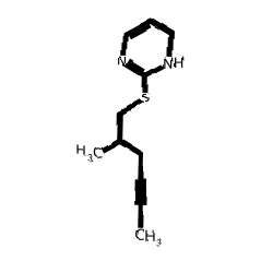 CC#CCC(C)CSC1=NC=CCN1